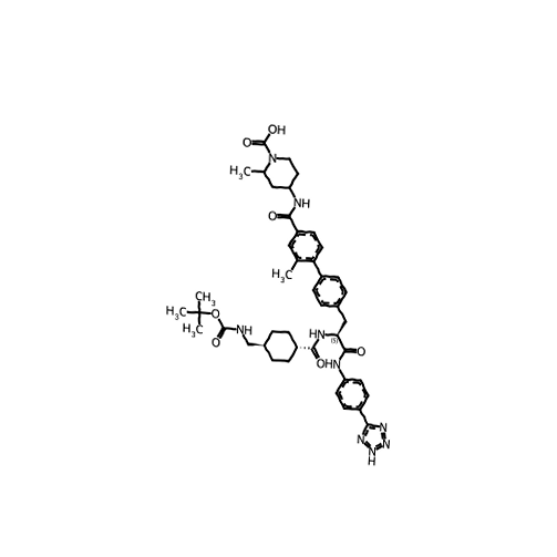 Cc1cc(C(=O)NC2CCN(C(=O)O)C(C)C2)ccc1-c1ccc(C[C@H](NC(=O)[C@H]2CC[C@H](CNC(=O)OC(C)(C)C)CC2)C(=O)Nc2ccc(-c3nn[nH]n3)cc2)cc1